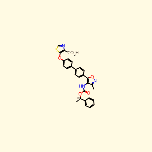 Cc1noc(-c2ccc(-c3ccc(Oc4scnc4C(=O)O)cc3)cc2)c1NC(=O)O[C@H](C)c1ccccc1